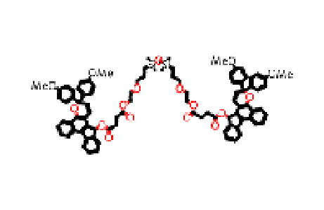 COc1ccc(C2(c3ccc(OC)cc3)C=Cc3c4c(c5ccccc5c3O2)-c2ccccc2C4OC(=O)CCC(=O)OCCOCCC[Si](C)(C)O[Si](C)(C)CCCOCCOC(=O)CCC(=O)OC2c3ccccc3-c3c2c2c(c4ccccc34)OC(c3ccc(OC)cc3)(c3ccc(OC)cc3)C=C2)cc1